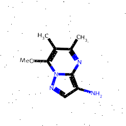 COc1c(C)c(C)nc2c(N)cnn12